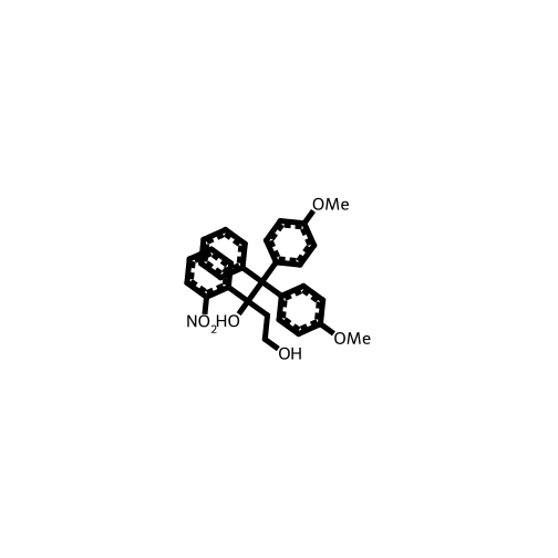 COc1ccc(C(c2ccccc2)(c2ccc(OC)cc2)C(O)(CCO)c2ccccc2[N+](=O)[O-])cc1